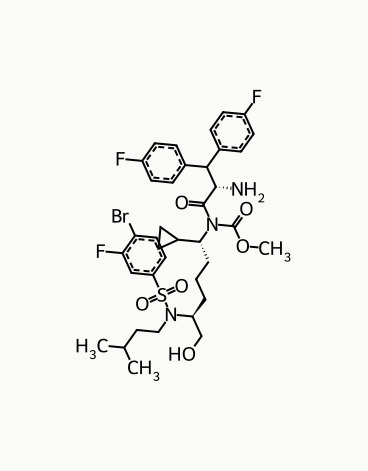 COC(=O)N(C(=O)[C@@H](N)C(c1ccc(F)cc1)c1ccc(F)cc1)[C@H](CCC[C@@H](CO)N(CCC(C)C)S(=O)(=O)c1ccc(Br)c(F)c1)C1CC1